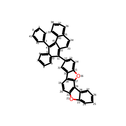 c1ccc(-c2c3ccccc3c(-c3ccc4oc5c(ccc6oc7ccccc7c65)c4c3)c3ccc4ccccc4c23)cc1